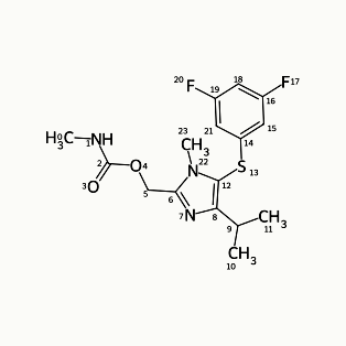 CNC(=O)OCc1nc(C(C)C)c(Sc2cc(F)cc(F)c2)n1C